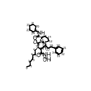 CCCCCCC[C@@H](C(=O)N1NCCC[C@H]1C(=O)NC1CCCCC1)C(CCCc1ccccc1)C(=O)NO